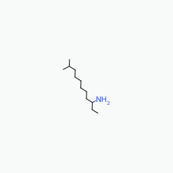 CCC(N)CCCCCCC(C)C